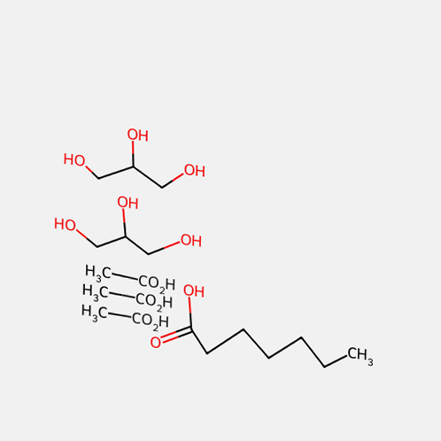 CC(=O)O.CC(=O)O.CC(=O)O.CCCCCCC(=O)O.OCC(O)CO.OCC(O)CO